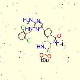 CN(C(=O)c1ccc(-c2cnc(N)c(NCc3c(Cl)cccc3Cl)n2)cc1)C1CCN[C@@H](C(=O)OC(C)(C)C)C1